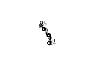 Cn1nnc(-c2ccc3c(c2)ncn3Cc2ccc3nc(NC4CCCCC4O)sc3c2)n1